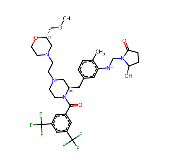 COC[C@@H]1CN(CCN2CCN(C(=O)c3cc(C(F)(F)F)cc(C(F)(F)F)c3)[C@H](Cc3ccc(C)c(NCN4C(=O)CCC4O)c3)C2)CCO1